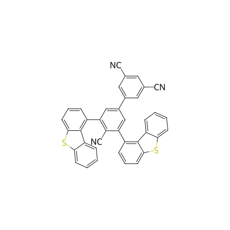 N#Cc1cc(C#N)cc(-c2cc(-c3cccc4sc5ccccc5c34)c(C#N)c(-c3cccc4sc5ccccc5c34)c2)c1